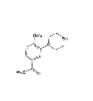 COC(=O)c1ccc(OC)c(N2CCNCC2)c1